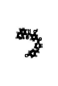 COc1cc(C(=O)N2CCN(Cc3ccc(Cl)cc3)CC2)ccc1N[S+]([O-])c1cccc2cccnc12